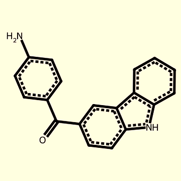 Nc1ccc(C(=O)c2ccc3[nH]c4ccccc4c3c2)cc1